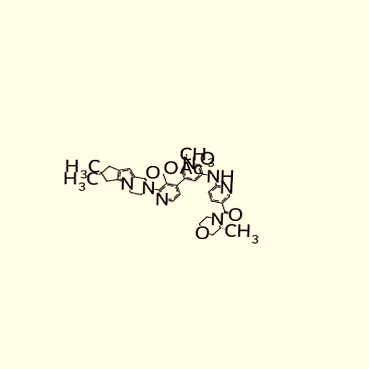 CC(=O)OCc1c(-c2cc(Nc3ccc(C(=O)N4CCOC[C@H]4C)cn3)c(=O)n(C)c2)ccnc1N1CCn2c(cc3c2CC(C)(C)C3)C1=O